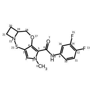 Cn1cc2c(c1C(=O)Nc1ccc(F)c(F)c1)OCC1CCN1S2